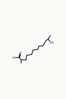 CC(O)CCCCCCCCC(C)C(=O)O